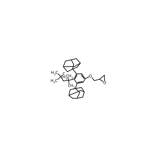 CC(C)(C)CC(C)(C)c1c(C23CC4CC(CC(C4)C2)C3)cc(OCC2CO2)cc1C12CC3CC(CC(C3)C1)C2